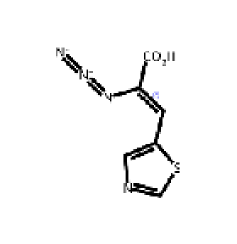 [N-]=[N+]=N/C(=C\c1cncs1)C(=O)O